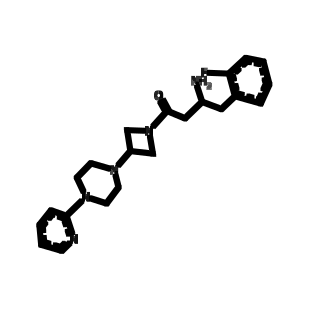 NC(CC(=O)N1CC(N2CCN(c3ccccn3)CC2)C1)Cc1ccccc1F